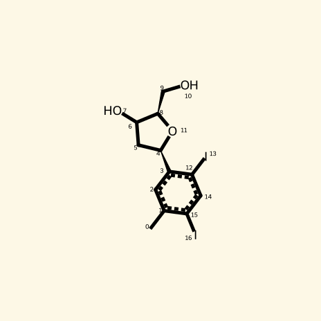 Cc1cc([C@H]2CC(O)[C@@H](CO)O2)c(I)cc1I